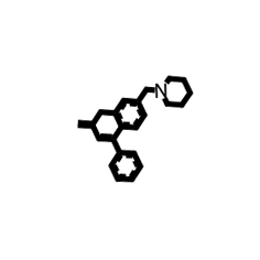 C=C1C=C(c2ccccc2)c2ccc(CN3CCCCC3)cc2C1